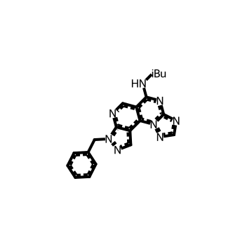 CCC(C)Nc1nc2ncnn2c2c1cnc1c2cnn1Cc1ccccc1